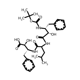 CC(C)CC(NC(=O)[C@@H](O)[C@@H](Cc1ccccc1)NC(=O)OC(C)(C)C)C(=O)N[C@H](Cc1ccccc1)[C@H](O)C(=O)O